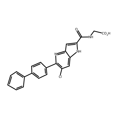 O=C(O)CNC(=O)c1cc2nc(-c3ccc(-c4ccccc4)cc3)c(Cl)cc2[nH]1